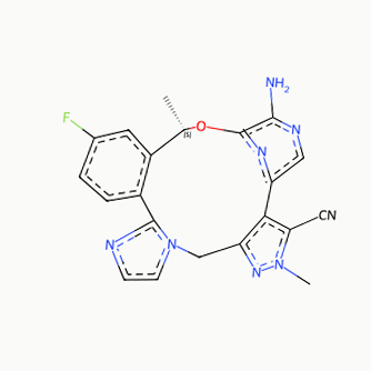 C[C@@H]1Oc2nc(cnc2N)-c2c(nn(C)c2C#N)Cn2ccnc2-c2ccc(F)cc21